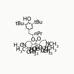 CCCC(Cc1cc(C(C)(C)C)c(O)c(C(C)(C)C)c1)OC(=O)C(C(=O)O)(C1CCN(C)C(C)(C)C1(C)C)C1CCN(C)C(C)(C)C1(C)C